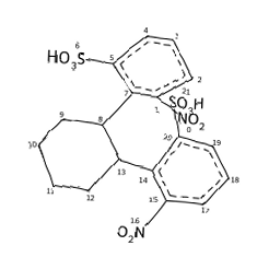 O=[N+]([O-])c1cccc(S(=O)(=O)O)c1C1CCCCC1c1c([N+](=O)[O-])cccc1S(=O)(=O)O